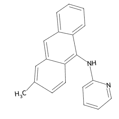 Cc1ccc2c(Nc3ccccn3)c3ccccc3cc2c1